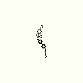 CCCCCCc1ccc(-c2ccc(OC(=O)O[C@H]3CC[C@H](C#N)CC3)cc2)cc1